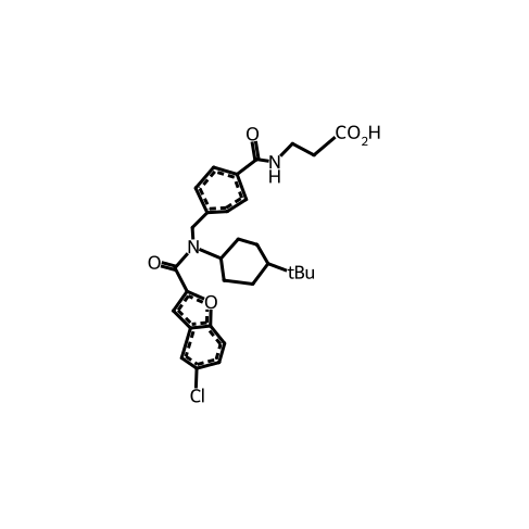 CC(C)(C)C1CCC(N(Cc2ccc(C(=O)NCCC(=O)O)cc2)C(=O)c2cc3cc(Cl)ccc3o2)CC1